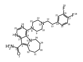 NC(=O)c1c2n(c3c(N4CCN(CCc5ccc(F)c(F)c5)CC4)ncnc13)CCCCC2